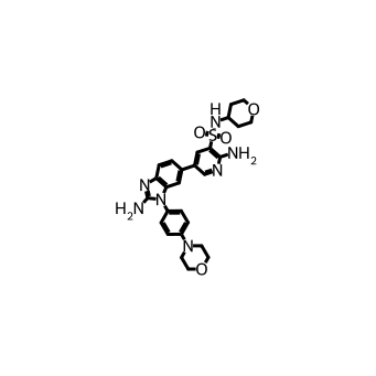 Nc1ncc(-c2ccc3nc(N)n(-c4ccc(N5CCOCC5)cc4)c3c2)cc1S(=O)(=O)NC1CCOCC1